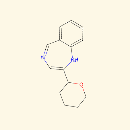 C1=NC=C(C2CCCCO2)Nc2ccccc21